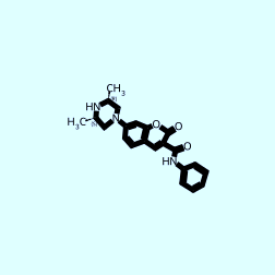 C[C@@H]1CN(c2ccc3cc(C(=O)Nc4ccccc4)c(=O)oc3c2)C[C@H](C)N1